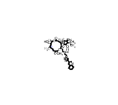 CC[C@H]1OC(=O)C[C@@H](O)[C@H](C)[C@@H](O[C@@H]2O[C@H](C)C(O)C(N(C)C)C2O)[C@@H](CCNCCn2cc(-c3cnc4ccccc4c3)nn2)C[C@@H](C)C(=O)/C=C/C(C)=C/[C@@H]1CO